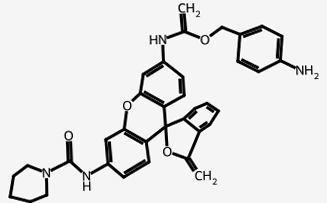 C=C(Nc1ccc2c(c1)Oc1cc(NC(=O)N3CCCCC3)ccc1C21OC(=C)c2ccccc21)OCc1ccc(N)cc1